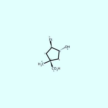 CC[C@@H]1C[C@](C)(C(=O)O)C[C@H]1O